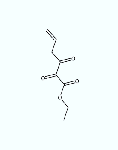 C=CCC(=O)C(=O)C(=O)OCC